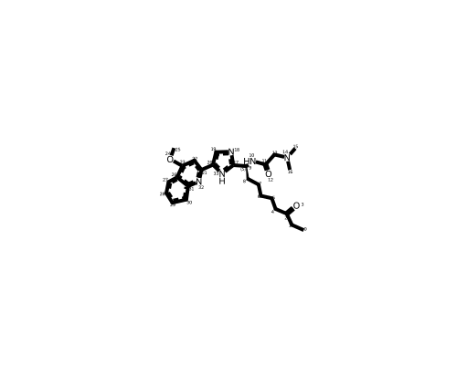 CCC(=O)CCCCC[C@H](NC(=O)CN(C)C)c1ncc(-c2cc(OC)c3ccccc3n2)[nH]1